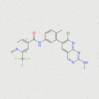 C=N/C(=C\C(=C/C)C(=O)Nc1ccc(C)c(-c2cc3cnc(NC)nc3nc2Cl)c1)C(F)(F)F